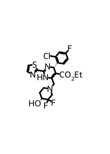 CCOC(=O)C1=C(CN2CC[C@@H](O)C(F)(F)C2)NC(c2nccs2)=N[C@@H]1c1ccc(F)cc1Cl